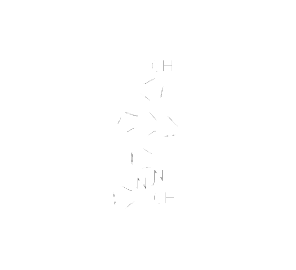 Cc1ccc(-c2c3ccccc3c(-c3ccc4c(c3)nc(C)n4-c3ccccc3)c3ccccc23)cc1